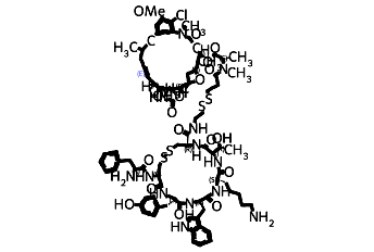 COc1cc2cc(c1Cl)N(C)C(=O)C[C@H](OC(=O)[C@H](C)N(C)C(=O)CCSSCCNC(=O)[C@@H]1CSSC[C@H](NC(=O)[C@H](N)Cc3ccccc3)C(=O)N[C@@H](Cc3ccc(O)cc3)C(=O)N[C@H](Cc3c[nH]c4ccccc34)C(=O)N[C@@H](CCCCCN)C(=O)N[C@@H]([C@@H](C)O)C(=O)N1)[C@@]1(C)CC(C)(O1)[C@@H]1C[C@@](O)(NC(=O)O1)[C@H](OC)/C=C/CC(C)C2